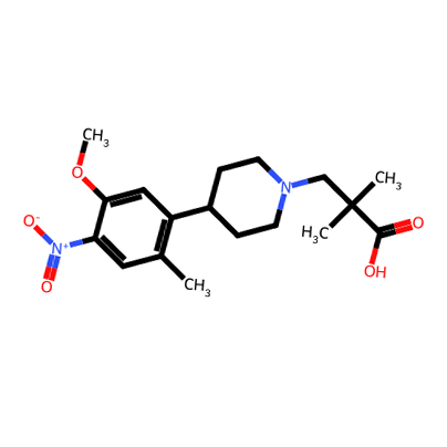 COc1cc(C2CCN(CC(C)(C)C(=O)O)CC2)c(C)cc1[N+](=O)[O-]